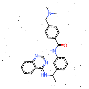 CC(Nc1ncnc2ccccc12)c1cccc(NC(=O)c2ccc(CN(C)C)cc2)c1